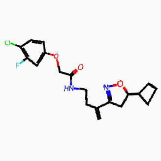 C=C(CCNC(=O)COc1ccc(Cl)c(F)c1)C1=NOC(C2CCC2)C1